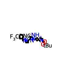 CC(C)(C)OC(=O)N1CC[C@]2(C1)C[C@H](n1nc(-c3ccn(Cc4cccc(C(F)(F)F)c4)n3)c(C#N)c1N)C2